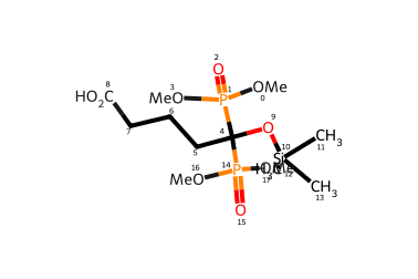 COP(=O)(OC)C(CCCC(=O)O)(O[Si](C)(C)C)P(=O)(OC)OC